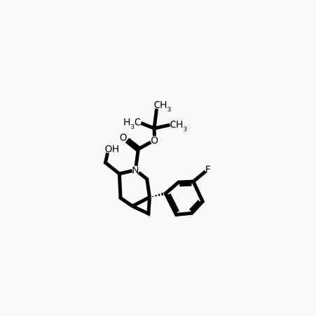 CC(C)(C)OC(=O)N1C[C@@]2(c3cccc(F)c3)CC2CC1CO